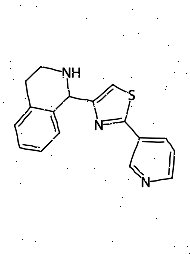 c1cncc(-c2nc(C3NCCc4ccccc43)cs2)c1